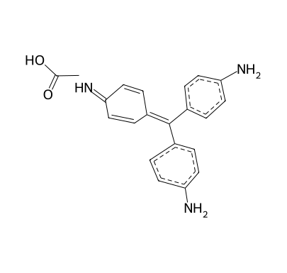 CC(=O)O.N=C1C=CC(=C(c2ccc(N)cc2)c2ccc(N)cc2)C=C1